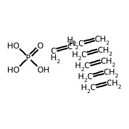 C=C.C=C.C=C.C=C.C=C.C=C.O=P(O)(O)O